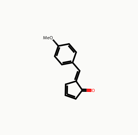 COc1ccc(/C=C2\C=C=CC2=O)cc1